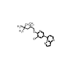 C[C@@H](COc1ncc(-c2ccnc3ccnn23)cc1Cl)CC(C)(C)N